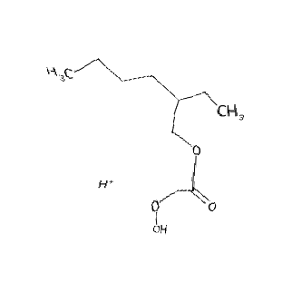 CCCCC(CC)COC(=O)OO.[H+]